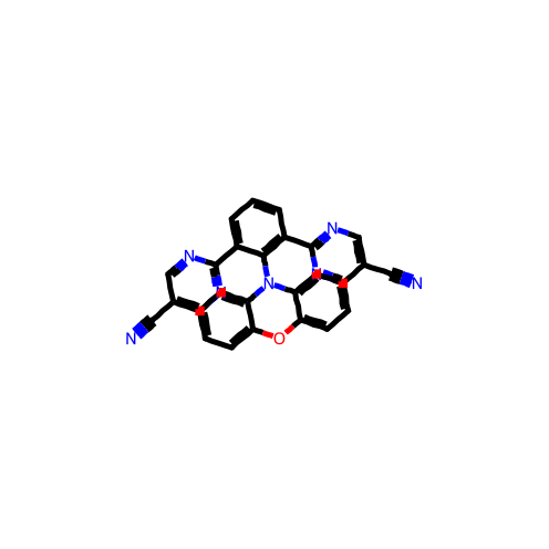 N#Cc1cnc(-c2cccc(-c3ncc(C#N)cn3)c2N2c3ccccc3Oc3ccccc32)nc1